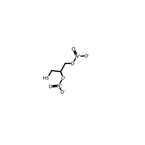 O=[N+]([O-])OCC(CS)O[N+](=O)[O-]